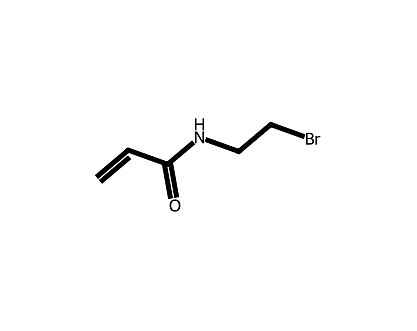 C=CC(=O)NCCBr